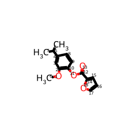 COc1cc(C(C)C)ccc1OC(=O)c1ccco1